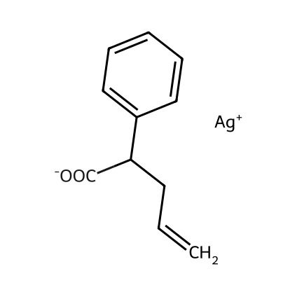 C=CCC(C(=O)[O-])c1ccccc1.[Ag+]